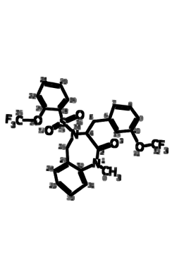 CN1C(=O)C(Cc2cccc(OC(F)(F)F)c2)N(S(=O)(=O)c2ccccc2OC(F)(F)F)Cc2ccccc21